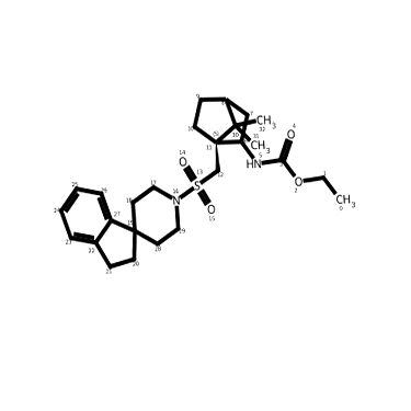 CCOC(=O)NC1CC2CC[C@]1(CS(=O)(=O)N1CCC3(CCc4ccccc43)CC1)C2(C)C